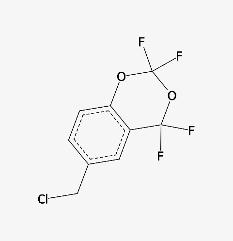 FC1(F)Oc2ccc(CCl)cc2C(F)(F)O1